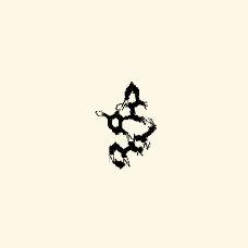 Fc1cccnc1C1=NCc2nnc(-c3ccncn3)n2-c2ccc(Cl)c(Cl)c21